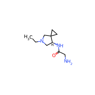 CCN1C[C@H](NC(=O)CN)C2(CC2)C1